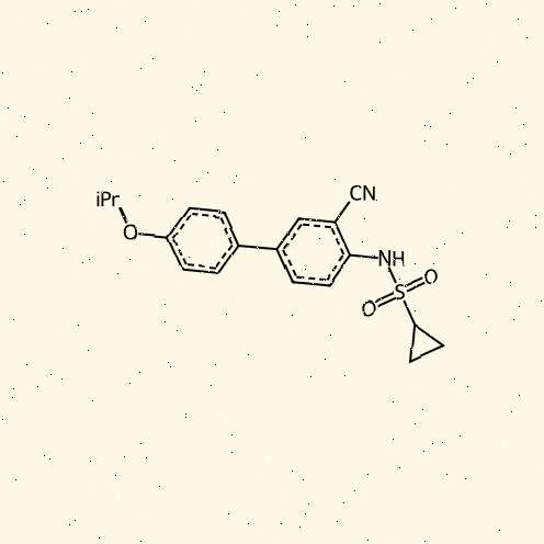 CC(C)Oc1ccc(-c2ccc(NS(=O)(=O)C3CC3)c(C#N)c2)cc1